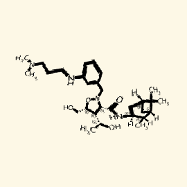 C[C@@H]1[C@@H](NC(=O)[C@@H]2[C@H]([C@H](C)O)[C@H](CO)ON2Cc2cccc(NCCCN(C)C)c2)C[C@H]2C[C@@H]1C2(C)C